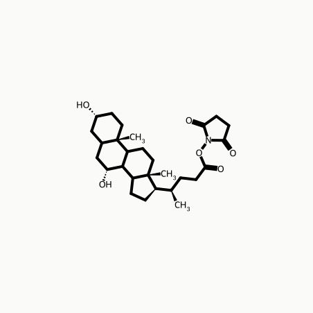 C[C@H](CCC(=O)ON1C(=O)CCC1=O)[C@H]1CCC2C3C(CC[C@@]21C)[C@@]1(C)CC[C@@H](O)CC1C[C@H]3O